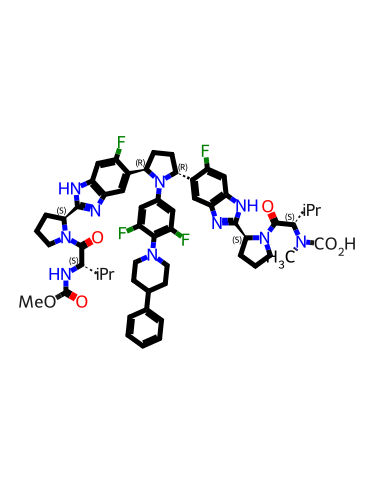 COC(=O)N[C@H](C(=O)N1CCC[C@H]1c1nc2cc([C@H]3CC[C@H](c4cc5nc([C@@H]6CCCN6C(=O)[C@H](C(C)C)N(C)C(=O)O)[nH]c5cc4F)N3c3cc(F)c(N4CCC(c5ccccc5)CC4)c(F)c3)c(F)cc2[nH]1)C(C)C